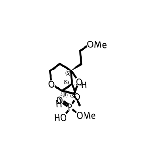 COCC[C@@]12CCO[C@H]([C@H](C)O1)[C@@H]2OP(=O)(O)OC